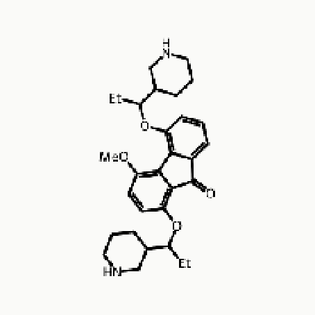 CCC(Oc1ccc(OC)c2c1C(=O)c1cccc(OC(CC)C3CCCNC3)c1-2)C1CCCNC1